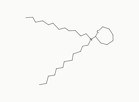 CCCCCCCCCCCCN(CCCCCCCCCCCC)C1CCCCCCC1